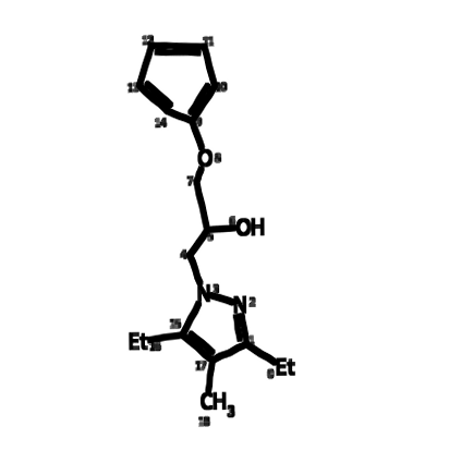 CCc1nn(CC(O)COc2ccccc2)c(CC)c1C